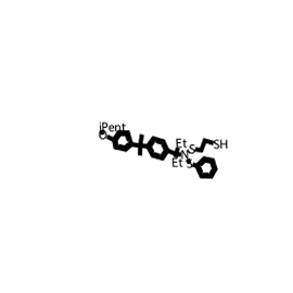 CCCC(C)Oc1ccc(C(C)(C)c2ccc(C(CC)(CC)N(SCCS)Sc3ccccc3)cc2)cc1